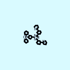 O=P(c1ccccc1)(c1ccccc1)c1ccc(-c2nc(-c3cccc(-c4ccccn4)c3)nc(-c3cccc(-c4ccccn4)c3)n2)cc1